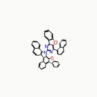 c1ccc2c(-c3nc(-n4c5c6ccccc6ccc5c5c6ccccc6c6c7ccccc7oc6c54)nc4c3oc3ccccc34)cccc2c1